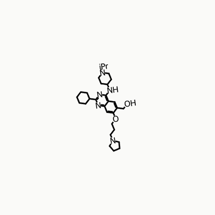 CC(C)N1CCC(Nc2nc(C3CCCCC3)nc3cc(OCCCN4CCCC4)c(CO)cc23)CC1